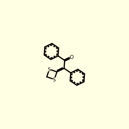 O=C(C(=C1SCS1)c1ccccc1)c1ccccc1